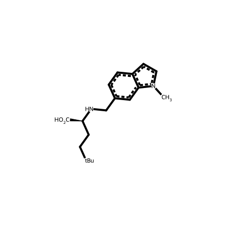 Cn1ccc2ccc(CN[C@@H](CCC(C)(C)C)C(=O)O)cc21